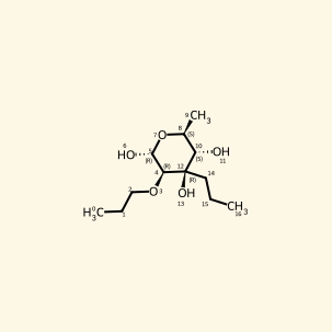 CCCO[C@H]1[C@H](O)O[C@@H](C)[C@H](O)[C@]1(O)CCC